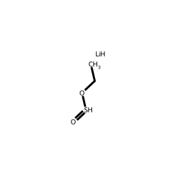 CCO[SH]=O.[LiH]